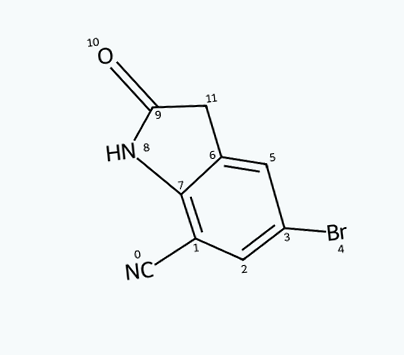 N#Cc1cc(Br)cc2c1NC(=O)C2